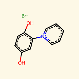 Oc1ccc(O)c(-[n+]2ccccc2)c1.[Br-]